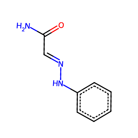 NC(=O)C=NNc1ccccc1